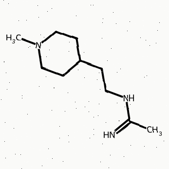 CC(=N)NCCC1CCN(C)CC1